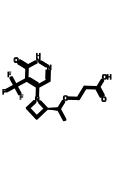 CC(OCCC(=O)O)[C@H]1CCN1c1cn[nH]c(=O)c1C(F)(F)F